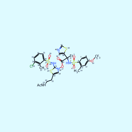 CCC(NS(=O)(=O)c1ccc(OC(F)(F)F)cc1C)(C(=O)ON1C=C(CCNC(C)=O)SC1NS(=O)(=O)c1cccc(Cl)c1C)c1cncs1